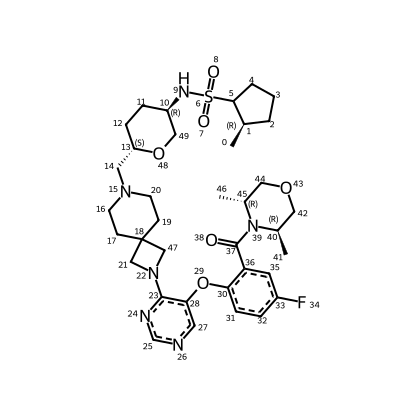 C[C@@H]1CCCC1S(=O)(=O)N[C@@H]1CC[C@@H](CN2CCC3(CC2)CN(c2ncncc2Oc2ccc(F)cc2C(=O)N2[C@H](C)COC[C@H]2C)C3)OC1